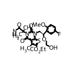 CCOC(=O)c1sc2c(c1C)c(=O)n(C(C)(C)C(N)=O)c(=O)n2C[C@H](OCCO)c1cc(F)ccc1OC